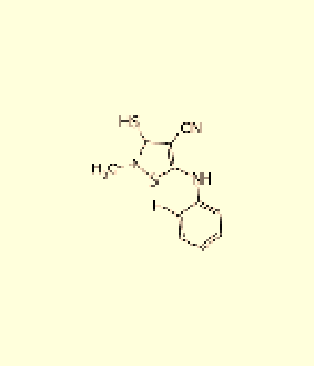 CN1SC(Nc2ccccc2F)=C(C#N)C1S